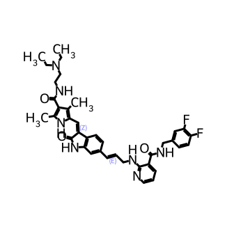 CCN(CC)CCNC(=O)c1c(C)[nH]c(/C=C2\C(=O)Nc3cc(/C=C/CNc4ncccc4C(=O)NCc4ccc(F)c(F)c4)ccc32)c1C